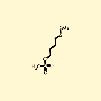 CSSCCCCOS(C)(=O)=O